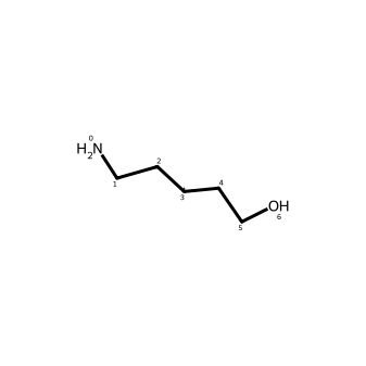 NCC[CH]CCO